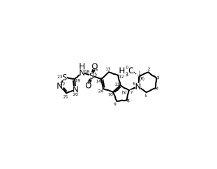 C[C@@H]1CCCCN1[C@H]1CCC2=C1CCC(S(=O)(=O)Nc1ncns1)=C2